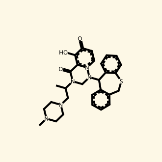 CC(CN1CCN(C)CC1)N1CN(C2c3ccccc3CSc3ccccc32)n2ccc(=O)c(O)c2C1=O